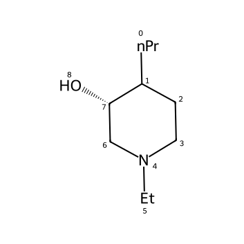 CCCC1CCN(CC)C[C@@H]1O